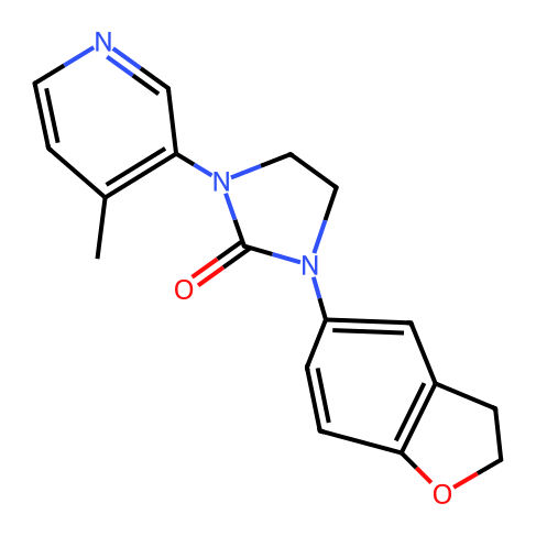 Cc1ccncc1N1CCN(c2ccc3c(c2)CCO3)C1=O